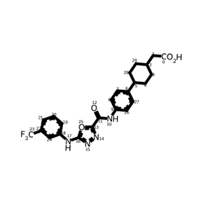 O=C(O)CC1CCC(c2ccc(NC(=O)c3nnc(Nc4cccc(C(F)(F)F)c4)o3)cc2)CC1